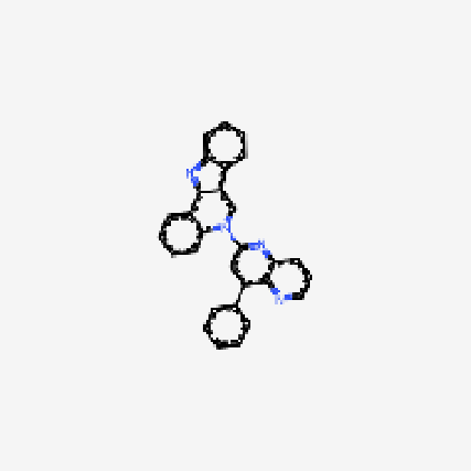 c1ccc(-c2cc(-n3cc4c5ccccc5nc-4c4ccccc43)nc3cccnc23)cc1